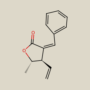 C=C[C@@H]1C(=Cc2ccccc2)C(=O)O[C@H]1C